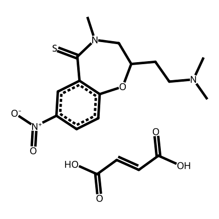 CN(C)CCC1CN(C)C(=S)c2cc([N+](=O)[O-])ccc2O1.O=C(O)/C=C/C(=O)O